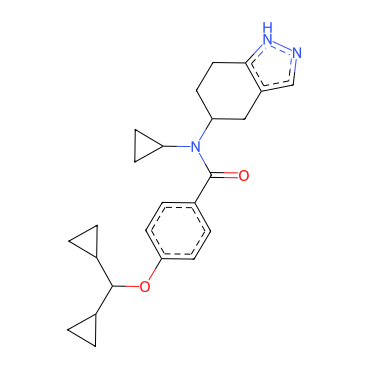 O=C(c1ccc(OC(C2CC2)C2CC2)cc1)N(C1CC1)C1CCc2[nH]ncc2C1